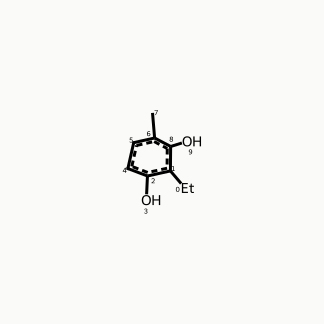 CCc1c(O)ccc(C)c1O